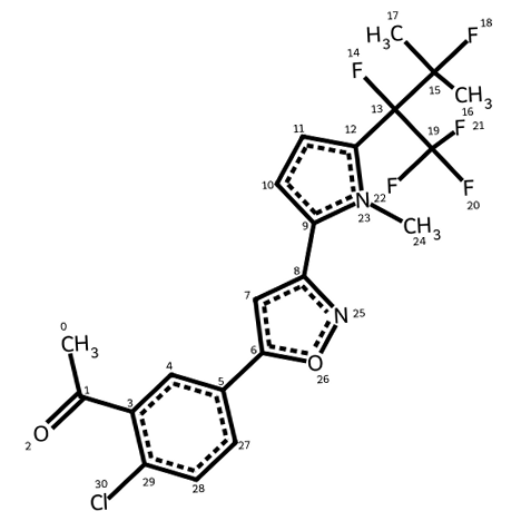 CC(=O)c1cc(-c2cc(-c3ccc(C(F)(C(C)(C)F)C(F)(F)F)n3C)no2)ccc1Cl